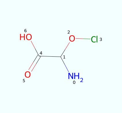 NC(OCl)C(=O)O